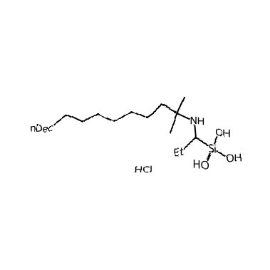 CCCCCCCCCCCCCCCCCC(C)(C)NC(CC)[Si](O)(O)O.Cl